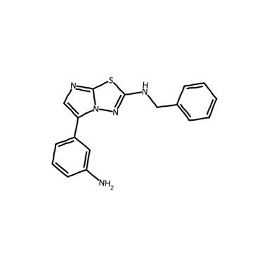 Nc1cccc(-c2cnc3sc(NCc4ccccc4)nn23)c1